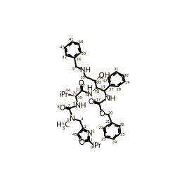 CC(C)c1nc(CN(C)C(=O)N[C@H](C(=O)N[C@@H](C(NC(=O)OCc2ccccc2)c2ccccc2)[C@@H](O)CNCc2ccccc2)C(C)C)co1